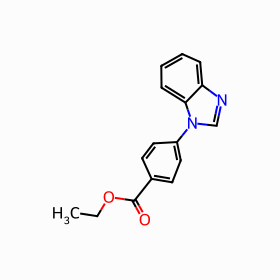 CCOC(=O)c1ccc(-n2cnc3ccccc32)cc1